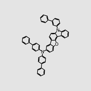 c1ccc(-c2ccc(N(c3ccc(-c4ccccc4)cc3)c3ccc4oc5c(ccc6c5c5ccccc5n6-c5cccc(-c6ccccc6)c5)c4c3)cc2)cc1